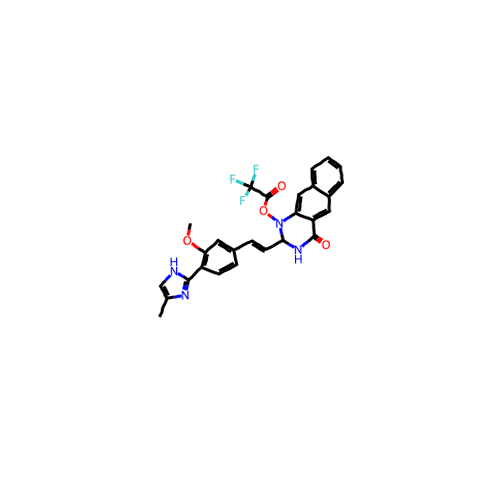 COc1cc(C=CC2NC(=O)c3cc4ccccc4cc3N2OC(=O)C(F)(F)F)ccc1-c1nc(C)c[nH]1